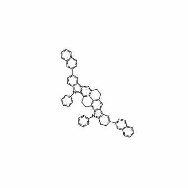 C1=C(c2ccc3ccccc3c2)CCc2c1c1cc3c4c(c1n2-c1ccccc1)CCc1c-4c(cc2c4cc(-c5ccc6ccccc6c5)ccc4n(-c4ccccc4)c12)CC3